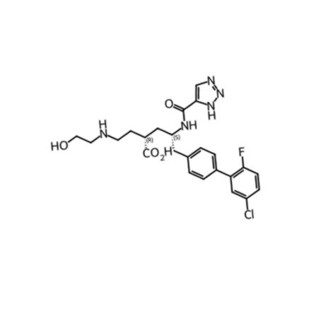 O=C(N[C@H](Cc1ccc(-c2cc(Cl)ccc2F)cc1)C[C@@H](CCNCCO)C(=O)O)c1cnn[nH]1